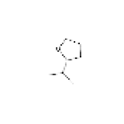 CC(C)[C@H]1CCCO1